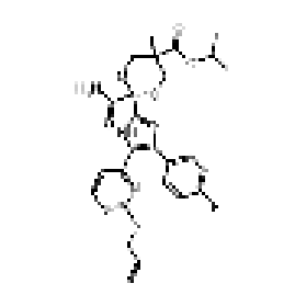 C=CCNc1nccc(-c2[nH]c(C3(C(N)=O)OCC(C)(C(=O)OC(C)C)CO3)nc2-c2ccc(F)cc2)n1